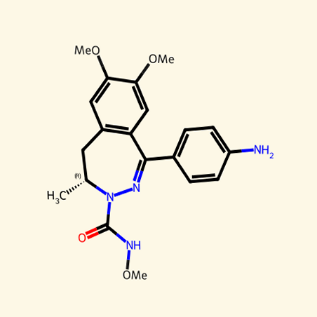 CONC(=O)N1N=C(c2ccc(N)cc2)c2cc(OC)c(OC)cc2C[C@H]1C